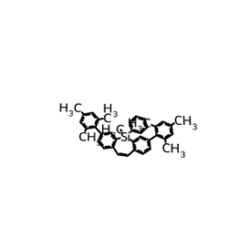 Cc1cc(C)c(-c2ccc3c(c2)[Si](C)(c2ccccc2)c2cc(-c4c(C)cc(C)cc4C)ccc2C=C3)c(C)c1